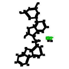 CC1=Cc2c(-c3cc(C)cc(C)c3)cccc2[CH]1[Zr+2][c]1cccc2c1Cc1ccccc1-2.[Cl-].[Cl-]